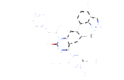 CC(=O)N1C[C@H](C)N(c2nc(=O)n3c4c(c(-c5ccc(F)c6cnn(C)c56)c(C(F)(F)F)cc24)SCC3CN2CCN(C)CC2)C[C@H]1C